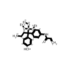 C=CC(=O)Nc1ccc(C(CCN)(c2ccccc2)[Si](OCC)(OCC)OCC)cc1.Cl